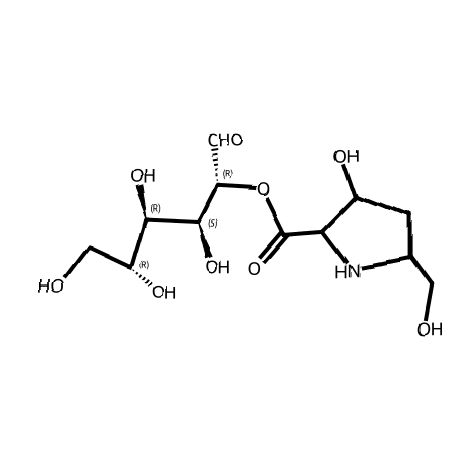 O=C[C@H](OC(=O)C1NC(CO)CC1O)[C@@H](O)[C@H](O)[C@H](O)CO